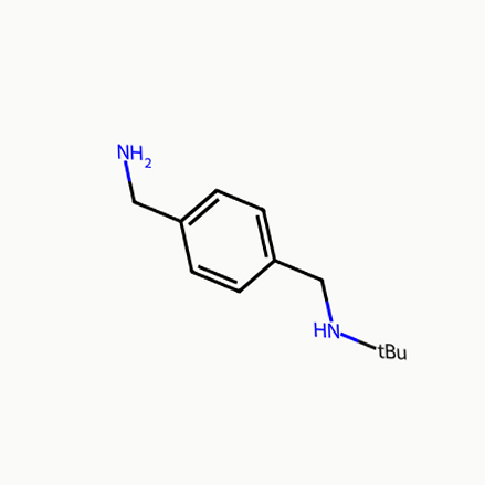 CC(C)(C)NCc1ccc(CN)cc1